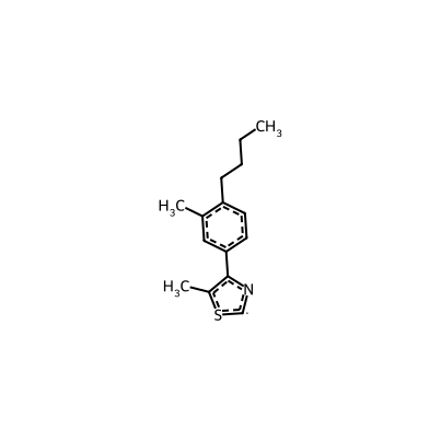 CCCCc1ccc(-c2n[c]sc2C)cc1C